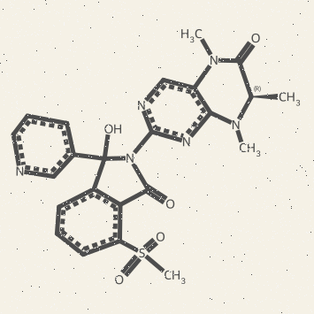 C[C@@H]1C(=O)N(C)c2cnc(N3C(=O)c4c(cccc4S(C)(=O)=O)C3(O)c3cccnc3)nc2N1C